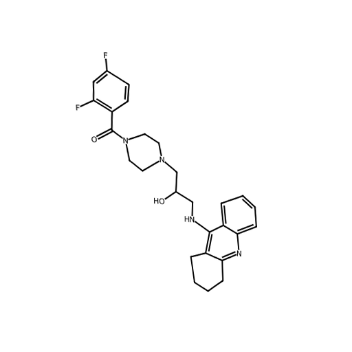 O=C(c1ccc(F)cc1F)N1CCN(CC(O)CNc2c3c(nc4ccccc24)CCCC3)CC1